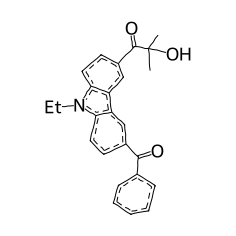 CCn1c2ccc(C(=O)c3ccccc3)cc2c2cc(C(=O)C(C)(C)O)ccc21